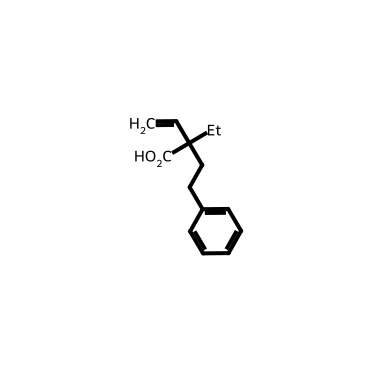 C=CC(CC)(CCc1ccccc1)C(=O)O